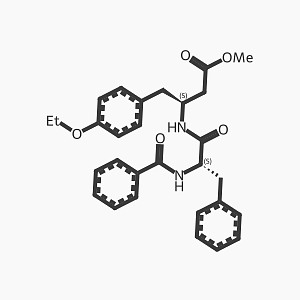 CCOc1ccc(C[C@@H](CC(=O)OC)NC(=O)[C@H](Cc2ccccc2)NC(=O)c2ccccc2)cc1